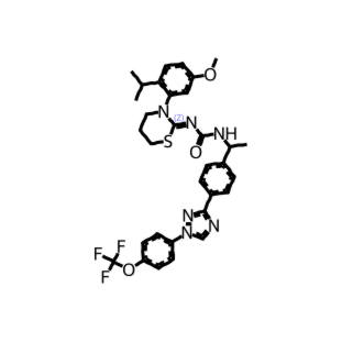 COc1ccc(C(C)C)c(N2CCCS/C2=N\C(=O)NC(C)c2ccc(-c3ncn(-c4ccc(OC(F)(F)F)cc4)n3)cc2)c1